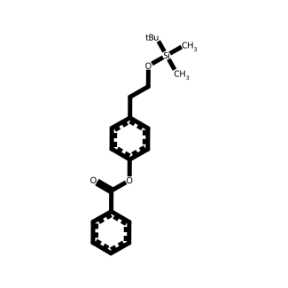 CC(C)(C)[Si](C)(C)OCCc1ccc(OC(=O)c2ccccc2)cc1